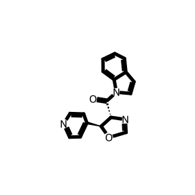 O=C([C@@H]1N=CO[C@H]1c1ccncc1)n1ccc2ccccc21